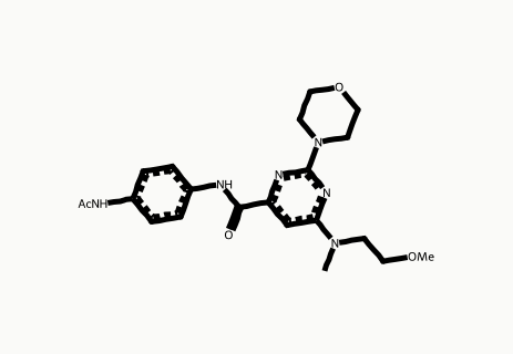 COCCN(C)c1cc(C(=O)Nc2ccc(NC(C)=O)cc2)nc(N2CCOCC2)n1